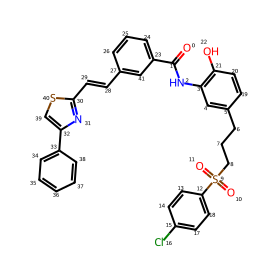 O=C(Nc1cc(CCCS(=O)(=O)c2ccc(Cl)cc2)ccc1O)c1cccc(C=Cc2nc(-c3ccccc3)cs2)c1